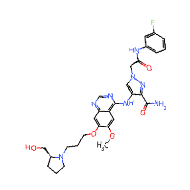 COc1cc2c(Nc3cn(CC(=O)Nc4cccc(F)c4)nc3C(N)=O)ncnc2cc1OCCCN1CCC[C@H]1CO